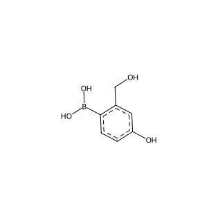 OCc1cc(O)ccc1B(O)O